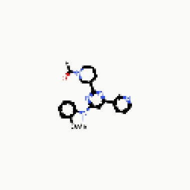 CCC(=O)N1CCCC(c2nc(Nc3ccccc3OC)cc(-c3cccnc3)n2)C1